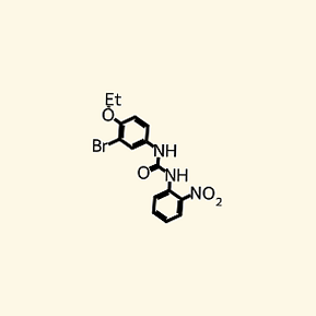 CCOc1ccc(NC(=O)Nc2ccccc2[N+](=O)[O-])cc1Br